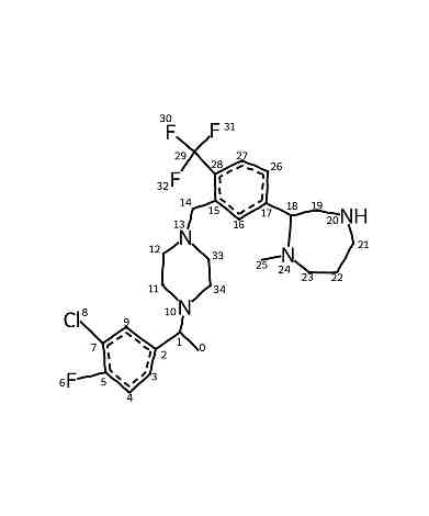 CC(c1ccc(F)c(Cl)c1)N1CCN(Cc2cc(C3CNCCCN3C)ccc2C(F)(F)F)CC1